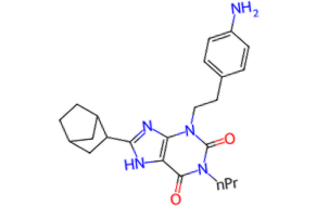 CCCn1c(=O)c2[nH]c(C3CC4CCC3C4)nc2n(CCc2ccc(N)cc2)c1=O